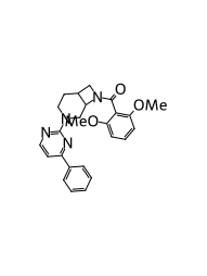 COc1cccc(OC)c1C(=O)N1CC2CCN(c3nccc(-c4ccccc4)n3)CC21